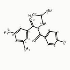 CCc1ccc(C(=O)N(NC(C)C(C)(C)C)C(=O)c2cc(C)cc(C)c2)cc1